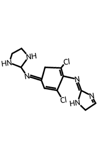 ClC1=CC(=NC2NCCN2)CC(Cl)=C1N=C1N=CCN1